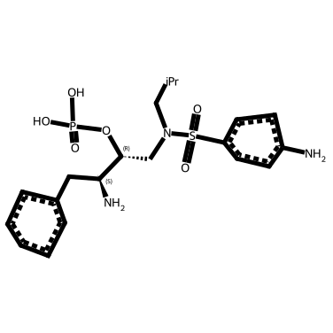 CC(C)CN(C[C@@H](OP(=O)(O)O)[C@@H](N)Cc1ccccc1)S(=O)(=O)c1ccc(N)cc1